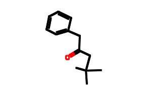 CC(C)(C)CC(=O)Cc1ccccc1